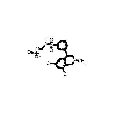 CN1Cc2c(Cl)cc(Cl)cc2C(c2cccc(S(=O)(=O)NCO[PH](=O)O)c2)C1